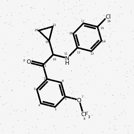 O=C(c1cccc(OC(F)(F)F)c1)C(Nc1ccc(Cl)cc1)C1CC1